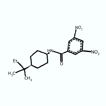 CCC(C)(C)[C@H]1CC[C@@H](NC(=O)c2cc([N+](=O)[O-])cc([N+](=O)[O-])c2)CC1